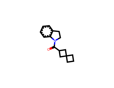 O=C(C1CC2(CCC2)C1)N1CCc2ccccc21